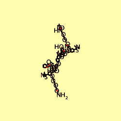 Cc1ncsc1-c1ccc(CNC(=O)[C@@H]2C[C@@H](O)CN2C(=O)[C@H](C(C)C)N2Cc3ccc(O[C@@H]4C[C@@H](C(=O)NCc5ccc(-c6scnc6C)cc5OCCOCCOCCOCCN)N(C(=O)[C@H](C(C)C)N5Cc6ccccc6C5=O)C4)cc3C2=O)c(OCCOCCOCCOCCNC(=O)OC(C)(C)C)c1